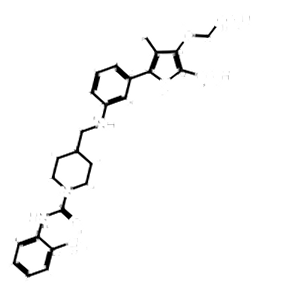 Cc1c(-c2cccc(NCC3CCN(C(=O)Nc4ccccc4C(F)(F)F)CC3)c2)sc(C(=O)O)c1OCC(=O)O